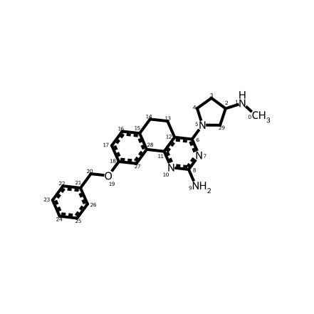 CNC1CCN(c2nc(N)nc3c2CCc2ccc(OCc4ccccc4)cc2-3)C1